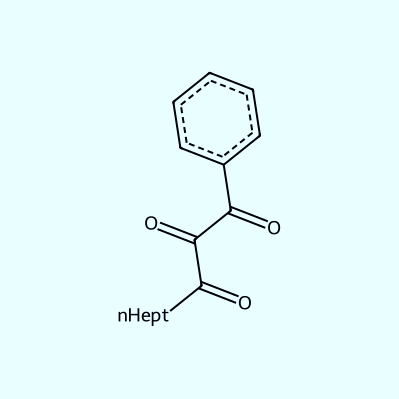 CCCCCCCC(=O)C(=O)C(=O)c1ccccc1